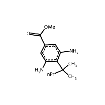 CCCC(C)(C)c1c(N)cc(C(=O)OC)cc1N